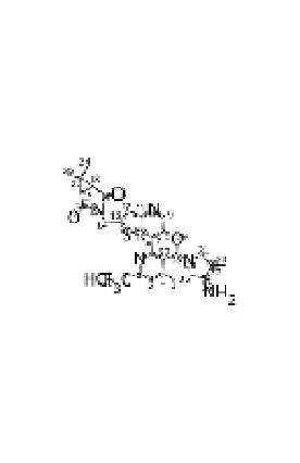 Cc1cc(C(F)(F)F)nc(-c2ccnc3cc(CN4C(=O)C5C(C4=O)C5(C)C)sc23)c1C(=O)N1C[C@@H](C)[C@H](N)C1.Cl